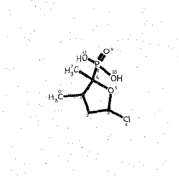 CC1CC(Cl)OC1(C)P(=O)(O)O